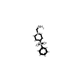 NCN1CCC(S(=O)(=O)c2ccccc2)CC1